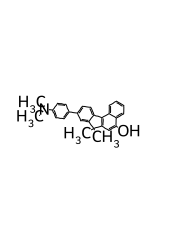 CN(C)c1ccc(-c2ccc3c(c2)C(C)(C)c2cc(O)c4ccccc4c2-3)cc1